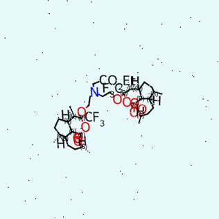 CCOC(=O)CN(CCO[C@@]1(C(F)(F)F)O[C@@H]2O[C@]3(C)CC[C@H]4[C@H](C)CC[C@@H]([C@H]1C)[C@@]24OO3)CCO[C@@]1(C(F)(F)F)O[C@@H]2O[C@]3(C)CC[C@H]4[C@H](C)CC[C@@H]([C@H]1C)[C@@]24OO3